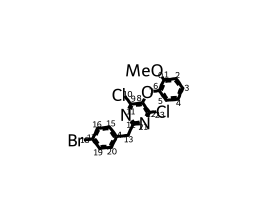 COc1ccccc1Oc1c(Cl)nc(Cc2ccc(Br)cc2)nc1Cl